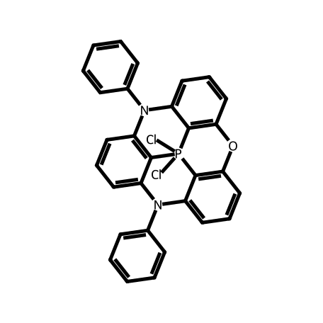 ClP12(Cl)c3c4cccc3N(c3ccccc3)c3cccc(c31)N(c1ccccc1)c1cccc(c12)O4